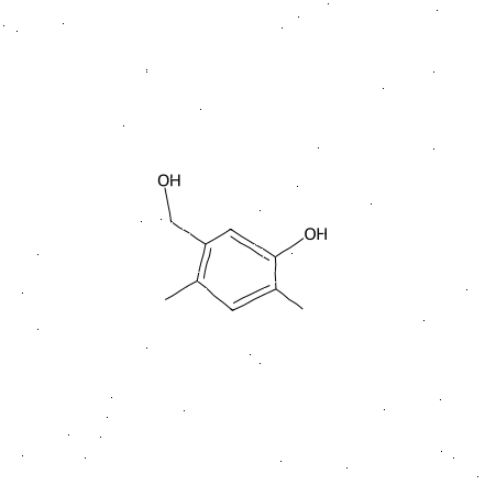 Cc1cc(C)c(CO)cc1O